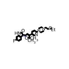 CCOCCN1CCN(c2ccc(C3=C/C(=C4\C(=O)Nc5cc(F)ccc54)OC3(C)C)cn2)CC1